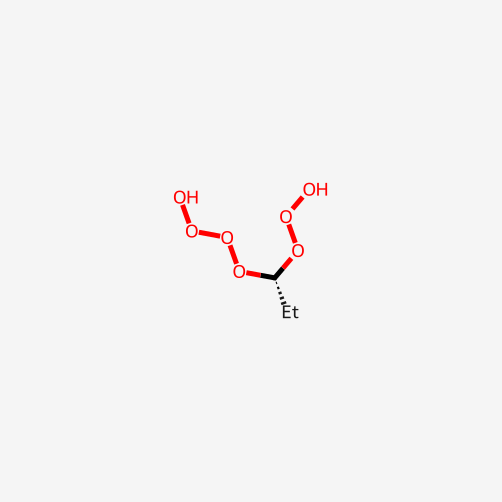 CC[C@@H](OOO)OOOO